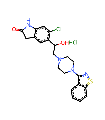 Cl.O=C1Cc2cc(C(O)CN3CCN(c4nsc5ccccc45)CC3)c(Cl)cc2N1